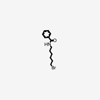 O=C(NCCCCCCBr)c1ccccc1